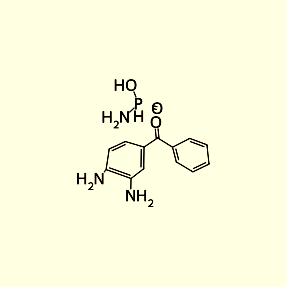 N[PH](=O)O.Nc1ccc(C(=O)c2ccccc2)cc1N